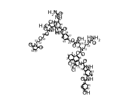 Cc1cccc2c(OC(=O)N(CCCNC(N)=O)CCN(C)C(=O)OCc3ccc(NC(=O)[C@H](CCCNC(N)=O)NC(=O)[C@@H](NC(=O)OCCOCCN4C(=O)C=CC4=O)C(C)C)cc3)cc3c(c12)[C@H](CCl)CN3C(=O)c1cc2cc(NC(=O)C3=CC=C(O)CC3)ncc2[nH]1